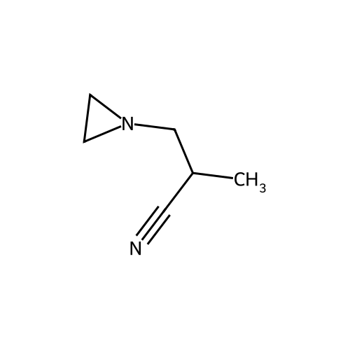 CC(C#N)CN1CC1